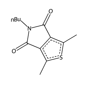 CCCCN1C(=O)c2c(C)sc(C)c2C1=O